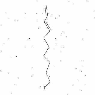 C=CC=CCCCCCCI